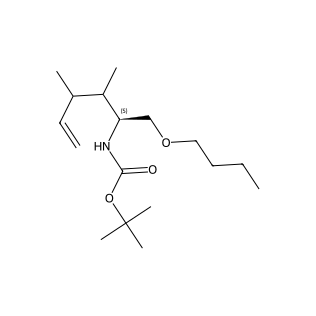 C=CC(C)C(C)[C@@H](COCCCC)NC(=O)OC(C)(C)C